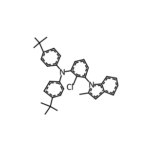 Cc1cc2ccccc2n1-c1cccc(N(c2ccc(C(C)(C)C)cc2)c2ccc(C(C)(C)C)cc2)c1Cl